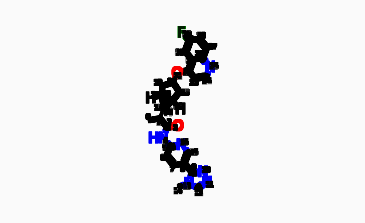 CC(C(=O)Nc1ccc(-c2nncn2C)cn1)[C@@H]1[C@@H]2C[C@@H](Oc3ccnc4ccc(F)cc34)C[C@@H]21